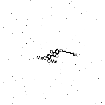 COc1ccc(-c2coc3cc(OCCCCCCBr)ccc3c2=O)cc1OC